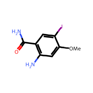 COc1cc(N)c(C(N)=O)cc1I